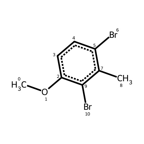 COc1ccc(Br)c(C)c1Br